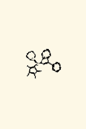 CC1=C(C)C(C)[C]([Zr]([CH]2C=C(c3ccccc3)c3ccccc32)=[Si]2CCCCC2)=C1C